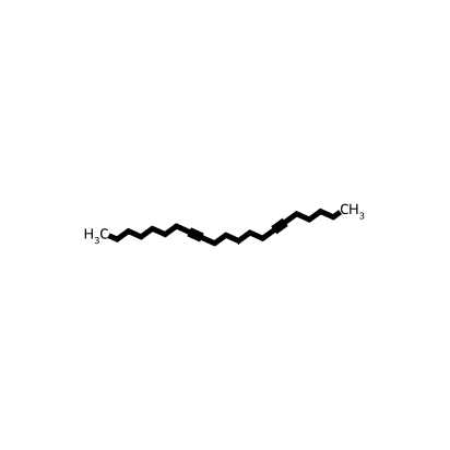 CCCCCC#CCC[CH]CCC#CCCCCCCC